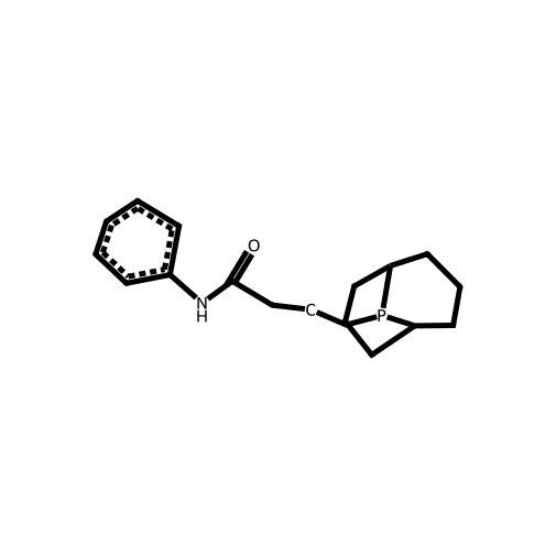 O=C(CCCP1C2CCCC1CCC2)Nc1ccccc1